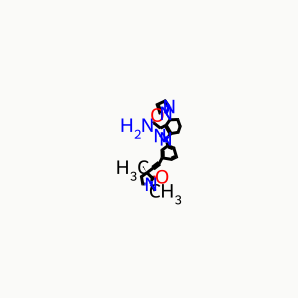 CN1CC[C@@](C)(C#Cc2cccc(-n3nc(C(N)=O)c4c3CCC[C@@H]4n3cccn3)c2)C1=O